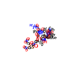 CCC(C)[C@@H]([C@@H](CC(=O)N1CCC[C@H]1[C@H](OC)[C@@H](C)C(=O)N[C@H](C)[C@@H](O)c1ccccc1)OC)N(C)C(=O)[C@@H](NC(=O)[C@H](C(C)C)N(C)C(=O)OCc1ccc(NC(=O)[C@H](CCCNC(N)=O)NC(=O)[C@@H](NC(=O)COCCOc2ccc(N3C(=O)C(Sc4ccc(C(=O)N5CCOCC5)cc4)=C(Sc4ccc(C(=O)N5CCOCC5)cc4)C3=O)cc2)C(C)C)cc1)C(C)C